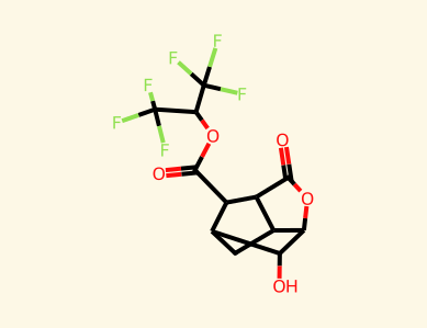 O=C(OC(C(F)(F)F)C(F)(F)F)C1C2CC3C(OC(=O)C31)C2O